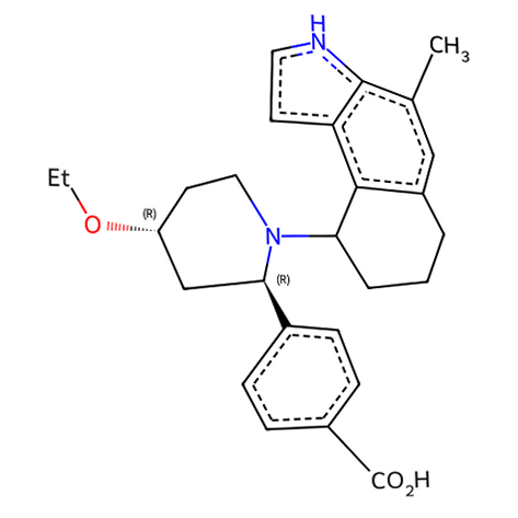 CCO[C@@H]1CCN(C2CCCc3cc(C)c4[nH]ccc4c32)[C@@H](c2ccc(C(=O)O)cc2)C1